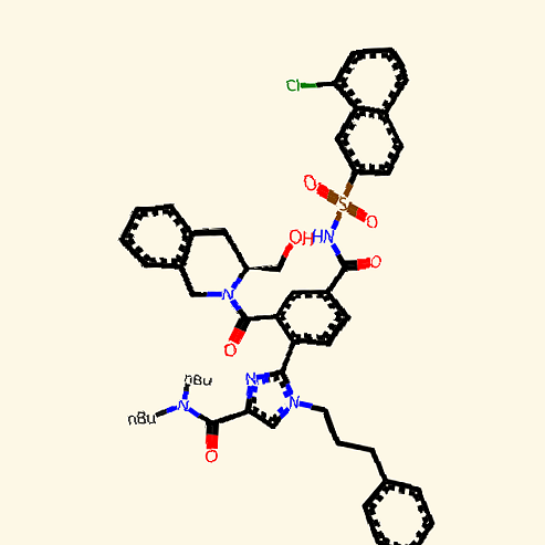 CCCCN(CCCC)C(=O)c1cn(CCCc2ccccc2)c(-c2ccc(C(=O)NS(=O)(=O)c3ccc4cccc(Cl)c4c3)cc2C(=O)N2Cc3ccccc3C[C@H]2CO)n1